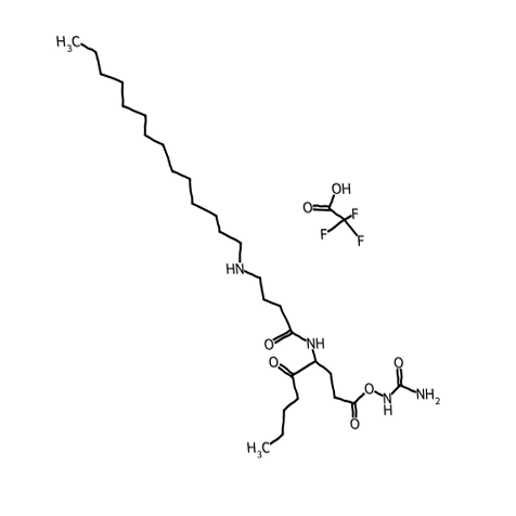 CCCCCCCCCCCCCCNCCCC(=O)NC(CCC(=O)ONC(N)=O)C(=O)CCCC.O=C(O)C(F)(F)F